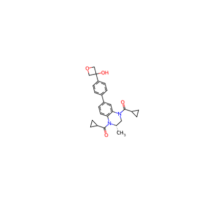 C[C@H]1CN(C(=O)C2CC2)c2cc(-c3ccc(C4(O)COC4)cc3)ccc2N1C(=O)C1CC1